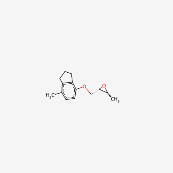 Cc1ccc(OC[C@@H]2O[C@H]2C)c2c1CCC2